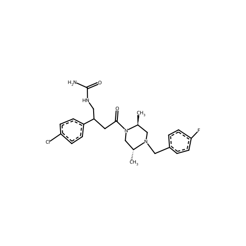 C[C@@H]1CN(C(=O)CC(CNC(N)=O)c2ccc(Cl)cc2)[C@@H](C)CN1Cc1ccc(F)cc1